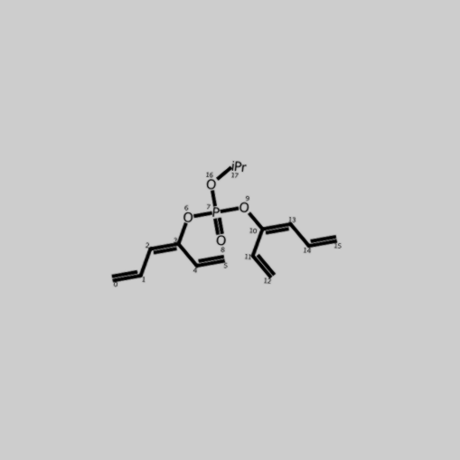 C=C/C=C(\C=C)OP(=O)(O/C(C=C)=C/C=C)OC(C)C